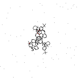 CC(C)(C)c1ccc2c(c1)N(c1cccc3sc4ccccc4c13)c1cc(N3c4ccc(C(C)(C)C)cc4C4(C)CCCCC34C)cc3c1B2c1ccc(N2c4ccc(C(C)(C)C)cc4C4(C)CCCCC24C)cc1N3c1cccc2c#cc3ccccc3c12